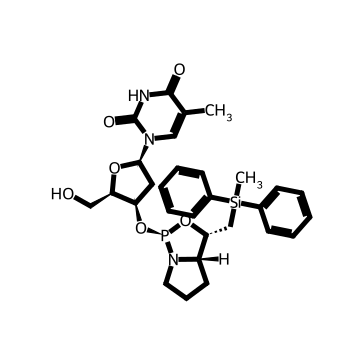 Cc1cn([C@H]2C[C@@H](O[P@@]3O[C@H](C[Si](C)(c4ccccc4)c4ccccc4)[C@@H]4CCCN43)[C@@H](CO)O2)c(=O)[nH]c1=O